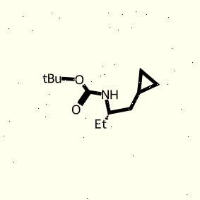 CC[C@@H](CC1CC1)NC(=O)OC(C)(C)C